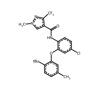 Cc1ccc(C(C)(C)C)c(Oc2cc(Cl)ccc2NC(=O)c2cn(C)nc2C(F)(F)F)c1